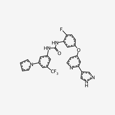 O=C(Nc1cc(-n2cccc2)cc(C(F)(F)F)c1)Nc1cc(Oc2ccnc(-c3cn[nH]c3)c2)ccc1F